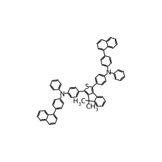 CC1(C)c2ccccc2-c2c(-c3ccc(N(c4ccccc4)c4ccc(-c5cccc6ccccc56)cc4)cc3)sc(-c3ccc(N(c4ccccc4)c4ccc(-c5cccc6ccccc56)cc4)cc3)c21